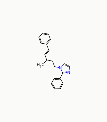 CC(C=Cc1ccccc1)CCn1ccnc1-c1ccccc1